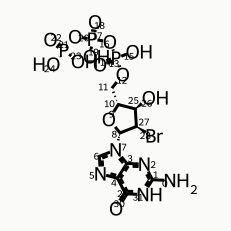 Nc1nc2c(ncn2[C@@H]2O[C@H](COP(=O)(O)OP(=O)(O)OP(=O)(O)O)[C@@H](O)[C@H]2Br)c(=O)[nH]1